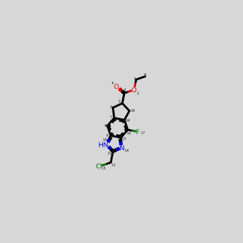 CCOC(=O)C1Cc2cc3[nH]c(CCl)nc3c(F)c2C1